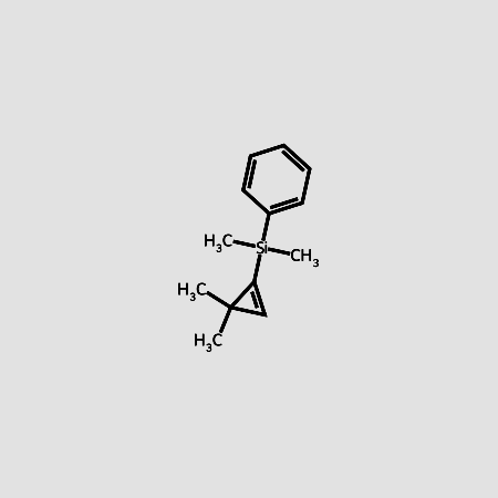 CC1(C)C=C1[Si](C)(C)c1ccccc1